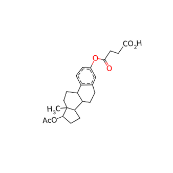 CC(=O)OC1CCC2C3CCc4cc(OC(=O)CCC(=O)O)ccc4C3CCC12C